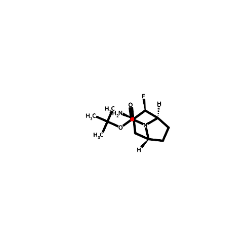 CC(C)(C)OC(=O)N1[C@@H]2CC[C@@H]1[C@H](F)[C@H](N)C2